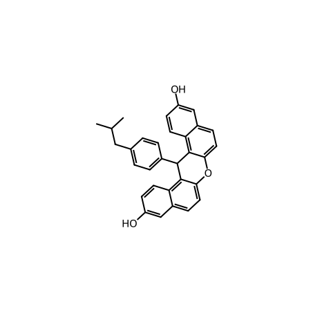 CC(C)Cc1ccc(C2c3c(ccc4cc(O)ccc34)Oc3ccc4cc(O)ccc4c32)cc1